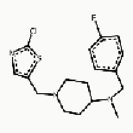 CN(Cc1ccc(F)cc1)C1CCN(Cc2cnc(Cl)s2)CC1